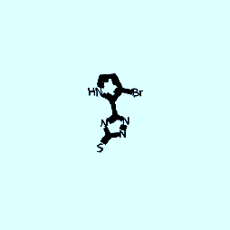 S=C1N=NC(c2[nH]ccc2Br)=N1